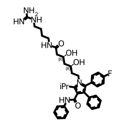 CC(C)c1c(C(=O)Nc2ccccc2)c(-c2ccccc2)c(-c2ccc(F)cc2)n1CC[C@@H](O)C[C@@H](O)CC(=O)NCCCCNC(=N)N